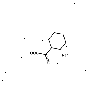 O=C([O-])C(=O)C1CCCCC1.[Na+]